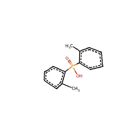 Cc1ccccc1P(=O)(O)c1ccccc1C